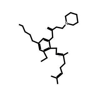 C=C(CCN1CCCCC1)Cc1cc(CCCCC)cc(CC)c1C/C=C(\C)CCC=C(C)C